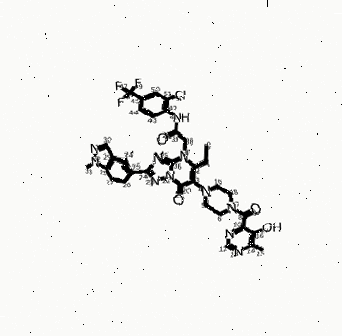 CCc1c(N2CCN(C(=O)c3ncnc(C)c3O)CC2)c(=O)n2nc(-c3ccc4c(cnn4C)c3)nc2n1CC(=O)Nc1ccc(C(F)(F)F)cc1Cl